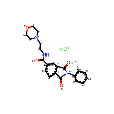 Cl.O=C(NCCN1CCOCC1)c1ccc2c(c1)C(=O)N(c1ccccc1F)C2=O